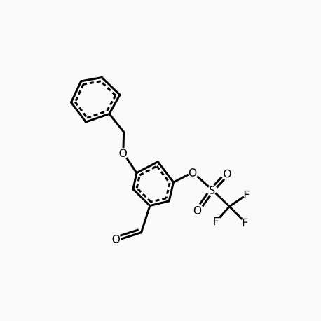 O=Cc1cc(OCc2ccccc2)cc(OS(=O)(=O)C(F)(F)F)c1